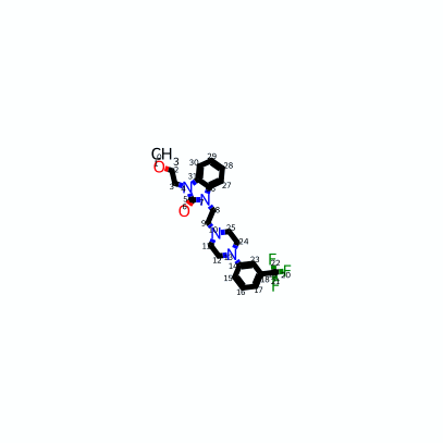 COCCn1c(=O)n(CCN2CCN(c3cccc(C(F)(F)F)c3)CC2)c2ccccc21